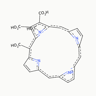 O=C(O)c1c(C(=O)O)c2c(C(=O)O)c3nc(cc4ccc(cc5nc(cc1n2C(=O)O)C=C5)[nH]4)C=C3